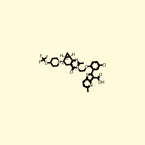 Cc1ccc2sc(-c3cc(Cl)ccc3OCCn3c(C)nc4c(c3=O)C[C@@H](N3CCC(OC(F)(F)F)CC3)[C@H]3C[C@@H]43)c(C(=O)O)c2n1